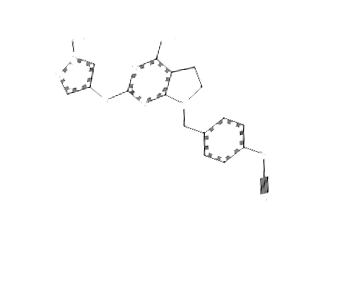 Cc1nc(Nc2cnn(C)c2)nc2c1CCN2Cc1ccc(NC#N)cc1